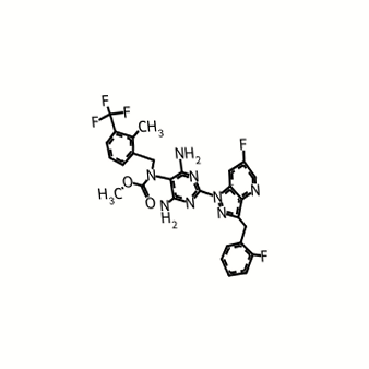 COC(=O)N(Cc1cccc(C(F)(F)F)c1C)c1c(N)nc(-n2nc(Cc3ccccc3F)c3ncc(F)cc32)nc1N